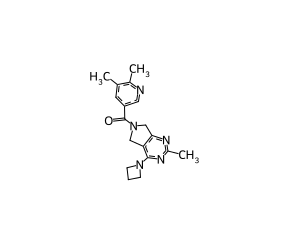 Cc1nc2c(c(N3CCC3)n1)CN(C(=O)c1cnc(C)c(C)c1)C2